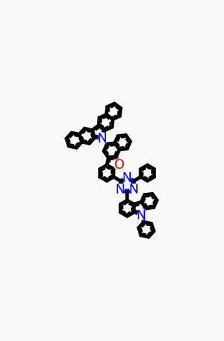 c1ccc(-c2nc(-c3cccc4c3oc3c5ccccc5c(-n5c6cc7ccccc7cc6c6cc7ccccc7cc65)cc43)nc(-c3cccc4c3c3ccccc3n4-c3ccccc3)n2)cc1